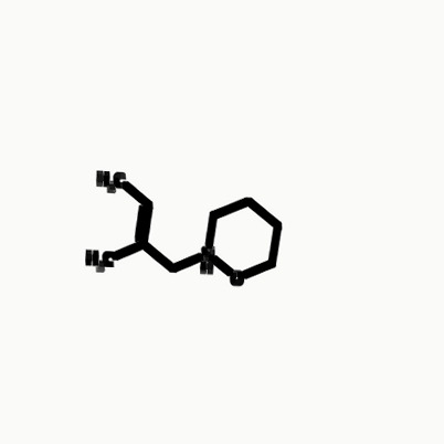 CC=C(C)C[SiH]1CCCCO1